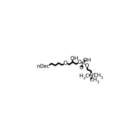 CCCCCCCCCCCCCCOCC(O)COP(=O)(O)OCC[N+](C)(C)C